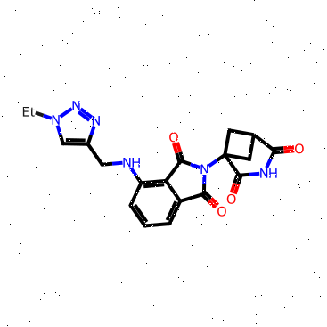 CCn1cc(CNc2cccc3c2C(=O)N(C24CC(C2)C(=O)NC4=O)C3=O)nn1